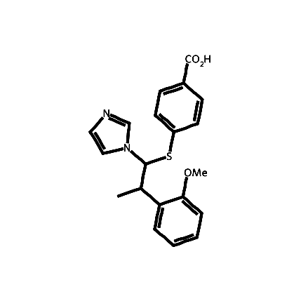 COc1ccccc1C(C)C(Sc1ccc(C(=O)O)cc1)n1ccnc1